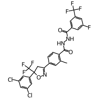 Cc1cc(C2=NOC(c3cc(Cl)cc(Cl)c3)(C(F)(F)F)C2)ccc1C(=O)NNC(=O)c1cc(F)cc(C(F)(F)F)c1